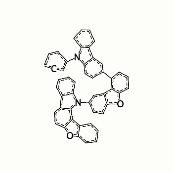 c1ccc(-n2c3ccccc3c3cc(-c4cccc5oc6ccc(-n7c8ccccc8c8ccc9oc%10ccccc%10c9c87)cc6c45)ccc32)cc1